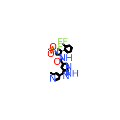 Cc1cc(-c2n[nH]c3ncc(C(=O)N[C@H]4CN(S(C)(=O)=O)C[C@@H]4c4ccccc4C(F)(F)F)cc23)ccn1